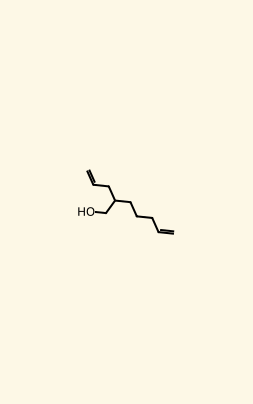 C=CCCCC(CO)CC=C